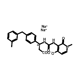 Cc1cccc(Cc2ccc([C@H](CC(=O)[O-])NC(=O)Nc3c([O-])ccn(C)c3=O)cc2)c1.[Na+].[Na+]